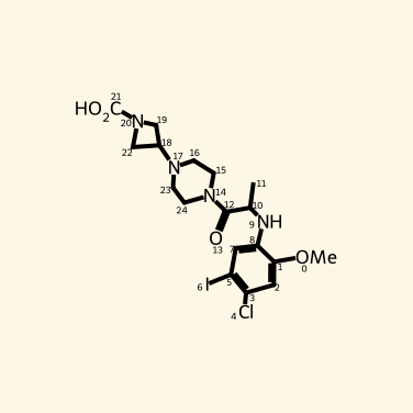 COc1cc(Cl)c(I)cc1NC(C)C(=O)N1CCN(C2CN(C(=O)O)C2)CC1